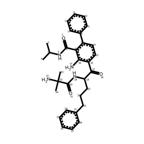 CC(C)NC(=O)c1c(-c2ccccc2)ccc(C(=O)C(CCCc2ccccc2)NC(=O)C(C)(C)N)c1N